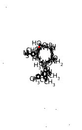 Cc1ncsc1-c1ccc([C@H]2NC(=O)[C@@H]3C[C@@H](O)CN3C(=O)[C@H](C(C)(C)C)NC(=O)CSC[C@H](C(N)=O)NC(=O)[C@@H](CN(C)C(=O)C[C@@H]3N=C(c4ccc(Cl)cc4)c4c(sc(C)c4C)-n4c(C)nnc43)NC(=O)CNC2=O)cc1